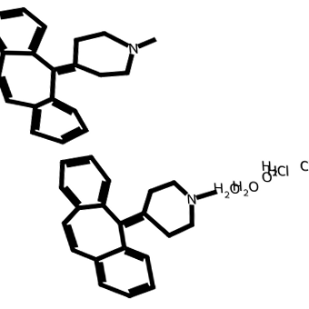 CN1CCC(=C2c3ccccc3C=Cc3ccccc32)CC1.CN1CCC(=C2c3ccccc3C=Cc3ccccc32)CC1.Cl.Cl.O.O.O